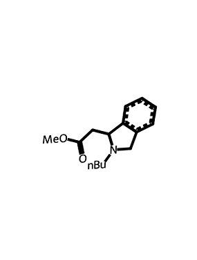 CCCCN1Cc2ccccc2C1CC(=O)OC